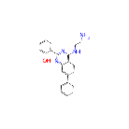 NCCNc1nc(-c2ccccc2O)nc2cc(-c3ccccc3)ccc12